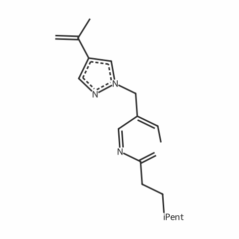 C=C(CCC(C)CCC)/N=C\C(=C/C)Cn1cc(C(=C)C)cn1